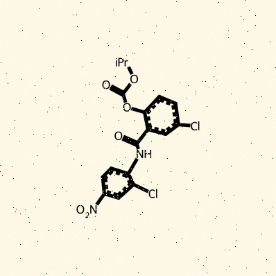 CC(C)OC(=O)Oc1ccc(Cl)cc1C(=O)Nc1ccc([N+](=O)[O-])cc1Cl